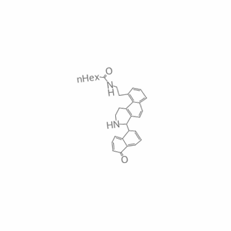 CCCCCCC(=O)NCCc1cccc2ccc3c(c12)CCNC3C1C=CC=C2C(=O)C=CC=C21